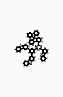 c1ccc(C2(c3ccccc3)c3ccccc3-c3c(-c4nc(-c5cc(-c6ccc7sc8ccccc8c7c6)cc(-c6ccc7sc8ccccc8c7c6)c5)nc(-c5cccc6c5sc5ccccc56)n4)cccc32)cc1